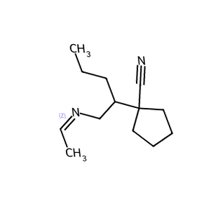 C/C=N\CC(CCC)C1(C#N)CCCC1